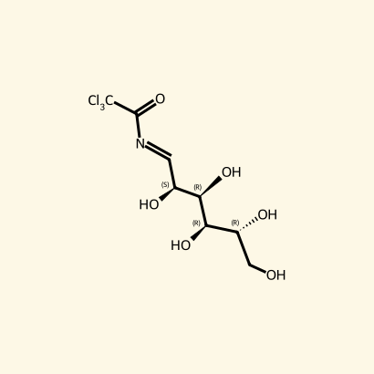 O=C(N=C[C@H](O)[C@@H](O)[C@H](O)[C@H](O)CO)C(Cl)(Cl)Cl